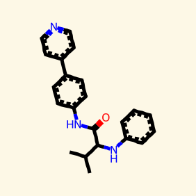 CC(C)C(Nc1ccccc1)C(=O)Nc1ccc(-c2ccncc2)cc1